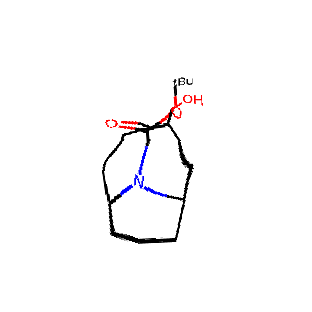 CC(C)(C)OC(=O)N1C2CCC(O)CC1CC2